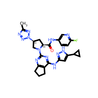 Cc1nnn([C@H]2C[C@@H](C(=O)Nc3ccc(F)nc3)N(c3nc4c(c(Nc5cc(C6CC6)[nH]n5)n3)CCC4)C2)n1